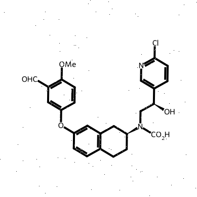 COc1ccc(Oc2ccc3c(c2)C[C@@H](N(C[C@H](O)c2ccc(Cl)nc2)C(=O)O)CC3)cc1C=O